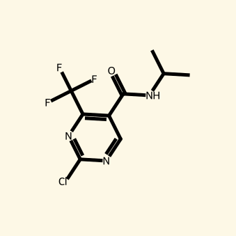 CC(C)NC(=O)c1cnc(Cl)nc1C(F)(F)F